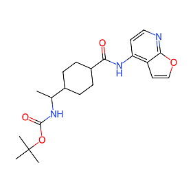 CC(NC(=O)OC(C)(C)C)C1CCC(C(=O)Nc2ccnc3occc23)CC1